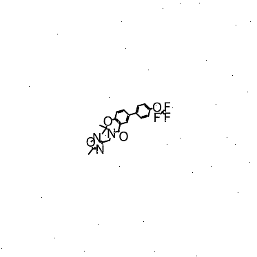 Cc1nc(CN2C(=O)c3cc(-c4ccc(OC(F)(F)F)cc4)ccc3OC2(C)C)no1